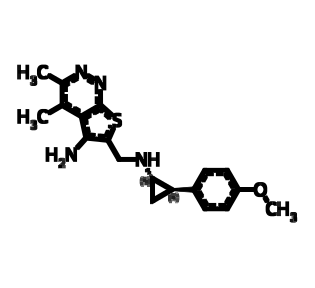 COc1ccc([C@H]2C[C@@H]2NCc2sc3nnc(C)c(C)c3c2N)cc1